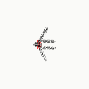 CCCCCCCCCCCC(CCCCCCCCCCC)OC(=O)c1ccccc1C(=O)OC(CCCCCCCCCCC)CCCCCCCCCCC